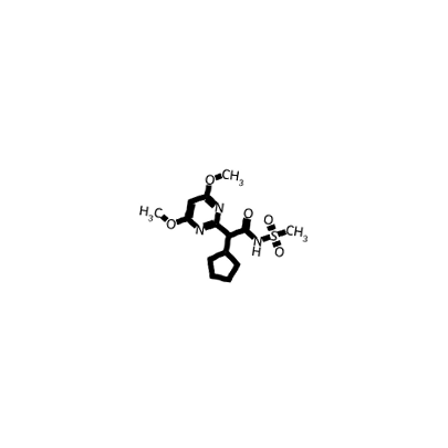 COc1cc(OC)nc(C(C(=O)NS(C)(=O)=O)C2CCCC2)n1